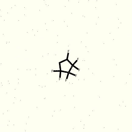 FC1[CH]C(F)(F)C(F)(F)C1(F)F